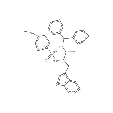 COc1ccc(S(=O)(=O)N[C@H](Cc2csc3ccccc23)C(=O)NC(c2ccccc2)c2ccccc2)cc1